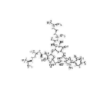 CC(C)=CCC[C@H](C)CC(=O)NC1C(OC2OC(C[C@@H](O)[C@H]3O[C@@H](n4ccc(=O)[nH]c4=O)[C@H](O)[C@@H]3O)C(O)C(O)C2NC(=O)C[C@@H](C)CCC=C(C)C)OC(CO)C(O)C1O